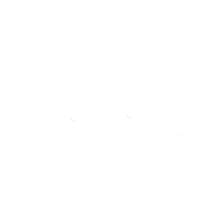 COc1ccc(Cl)cc1S(=O)(=O)NC1CCC(N2CCN(c3ncccc3OC(C)C)CC2)CC1